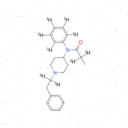 [2H]c1c([2H])c([2H])c(N(C(=O)C([2H])([2H])C)C2CCN(C([2H])([2H])Cc3ccccc3)CC2)c([2H])c1[2H]